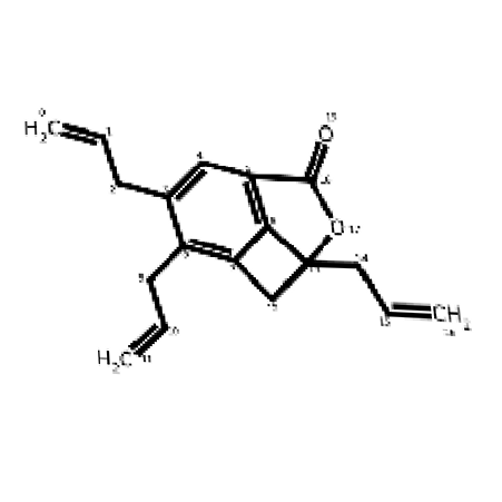 C=CCc1cc2c3c(c1CC=C)CC3(CC=C)OC2=O